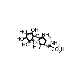 C[C@H]1O[C@H](OC2[C@@H](O)[C@@H](O)C(O)[C@H](O)[C@H]2O)[C@@H](N)C[C@@H]1/N=C(\N)C(=O)O